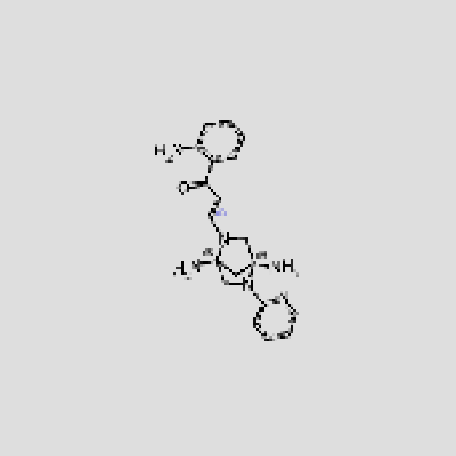 Nc1ccccc1C(=O)/C=C/N1C[C@@]2(N)C[C@]1(N)CN2c1ccccn1